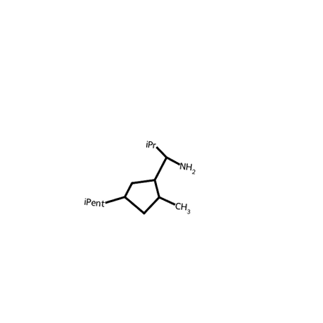 CCCC(C)C1CC(C)C(C(N)C(C)C)C1